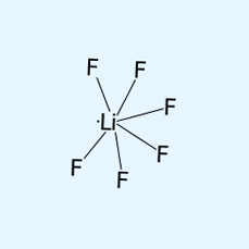 [F][Li]([F])([F])([F])([F])[F]